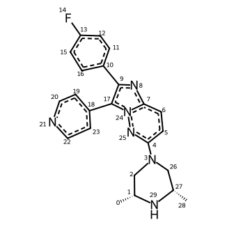 C[C@@H]1CN(c2ccc3nc(-c4ccc(F)cc4)c(-c4ccncc4)n3n2)C[C@H](C)N1